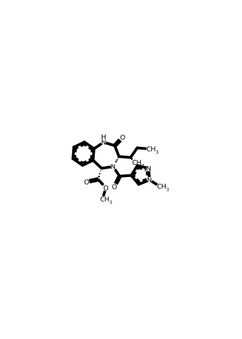 CC[C@H](C)[C@H]1C(=O)Nc2ccccc2[C@@H](C(=O)OC)N1C(=O)c1cnn(C)c1